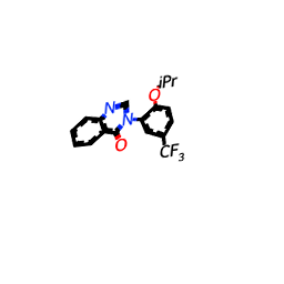 CC(C)Oc1ccc(C(F)(F)F)cc1-n1cnc2ccccc2c1=O